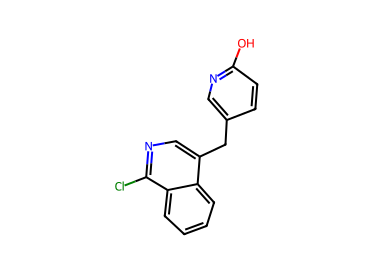 Oc1ccc(Cc2cnc(Cl)c3ccccc23)cn1